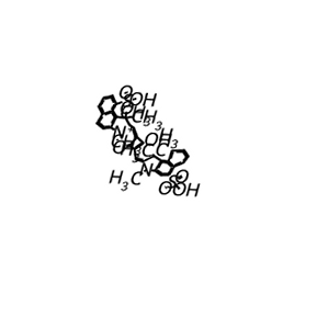 CN1/C(=C/C2=C(O)C(=C/C3=[N+](C)c4ccc5cccc(S(=O)(=O)O)c5c4C3(C)C)/C2=O)C(C)(C)c2c1cc(S(=O)(=O)O)c1ccccc21